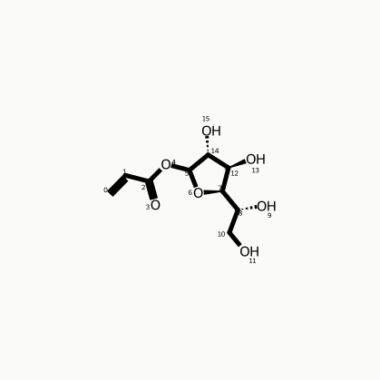 C=CC(=O)OC1O[C@H]([C@H](O)CO)[C@H](O)[C@H]1O